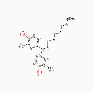 CCCCCCCCCCCCCCCCCC(c1ccc(O)c(C)c1)c1ccc(O)c(C)c1